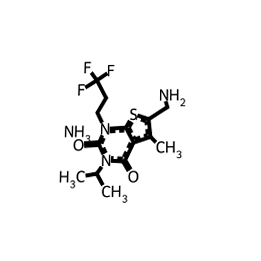 Cc1c(CN)sc2c1c(=O)n(C(C)C)c(=O)n2CCC(F)(F)F.N